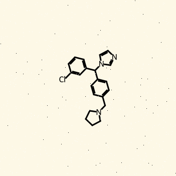 Clc1cccc(C(c2ccc(CN3CCCC3)cc2)n2ccnc2)c1